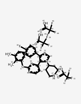 Cc1cccc(Oc2nccc(-c3c(-c4ccc(F)cc4)ncn3C3CCNCC3)n2)c1C.O=C(O)C(F)(F)F.O=C(O)C(F)(F)F.O=C(O)C(F)(F)F